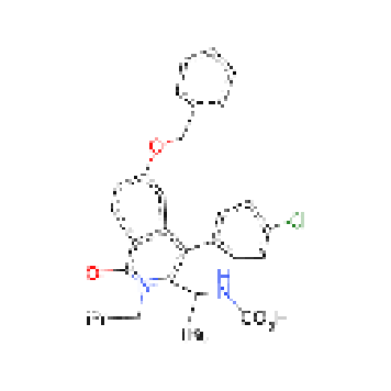 CC(C)Cn1c(C(NC(=O)O)C(C)(C)C)c(-c2ccc(Cl)cc2)c2cc(OCc3ccccc3)ccc2c1=O